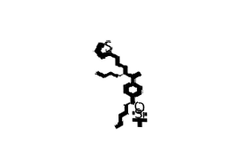 C=CCC[C@H](CCCc1cccs1)C(=C)c1ccc([C@H](CCCCC)O[Si](C)(C)C(C)(C)C)cc1